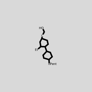 CCCCCC1CCC(C2CCC(CCO)CC2CC)CC1